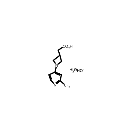 O.O=C(O)CC1CN(c2ccnc(C(F)(F)F)c2)C1.[Li+].[OH-]